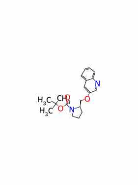 CC(C)(C)OC(=O)N1CCC[C@@H]1COc1cnc2ccccc2c1